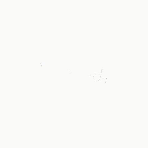 C/C=C/C1CCC(C2CCC(OCC3CCC(C4CCc5cc(OC(F)(F)F)c(F)cc5O4)CC3)CC2)CC1